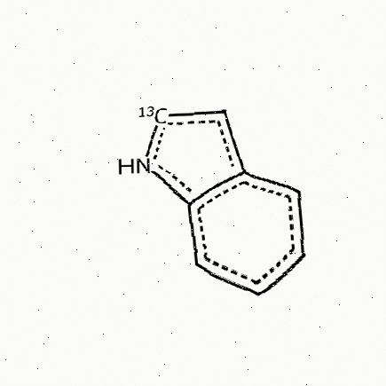 c1ccc2[nH][13cH]cc2c1